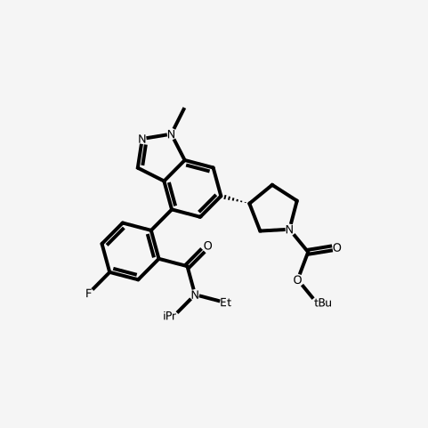 CCN(C(=O)c1cc(F)ccc1-c1cc([C@@H]2CCN(C(=O)OC(C)(C)C)C2)cc2c1cnn2C)C(C)C